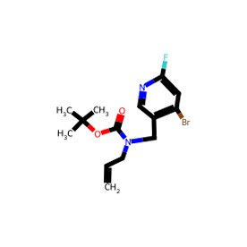 C=CCN(Cc1cnc(F)cc1Br)C(=O)OC(C)(C)C